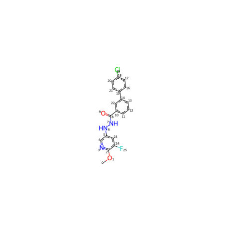 COc1ncc(NNC(=O)c2cccc(-c3ccc(Cl)cc3)c2)cc1F